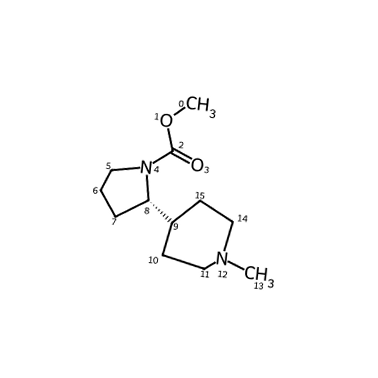 COC(=O)N1CCC[C@H]1C1CCN(C)CC1